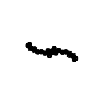 O=C1c2ccc3c4c(ccc(c24)C(=O)N1CCOCCOCCOCCn1cc(CN2CCS(=O)(=O)CC2)nn1)C(=O)N(CCOCCOCCOCCn1cc(CN2CCS(=O)(=O)CC2)nn1)C3=O